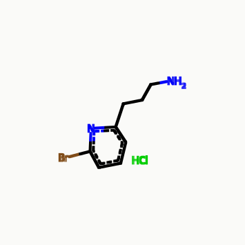 Cl.NCCCc1cccc(Br)n1